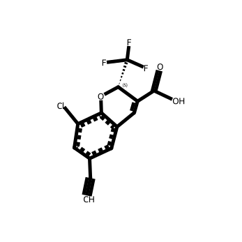 C#Cc1cc(Cl)c2c(c1)C=C(C(=O)O)[C@@H](C(F)(F)F)O2